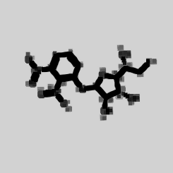 O=[N+]([O-])c1cccc(OC2O[C@@H]([C@H](O)CF)[C@H](O)[C@H]2O)c1[N+](=O)[O-]